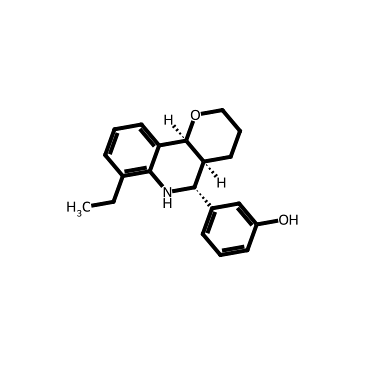 CCc1cccc2c1N[C@@H](c1cccc(O)c1)[C@@H]1CCCO[C@H]21